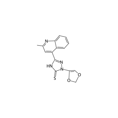 Cc1cc(-c2nn(C3=COCO3)c(=S)[nH]2)c2ccccc2n1